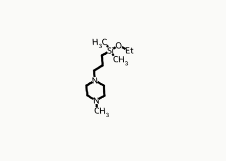 CCO[Si](C)(C)CCCN1CCN(C)CC1